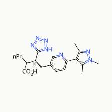 CCCC(C(=O)O)[C@H](Cc1ccc(-c2c(C)nn(C)c2C)nc1)c1nnn[nH]1